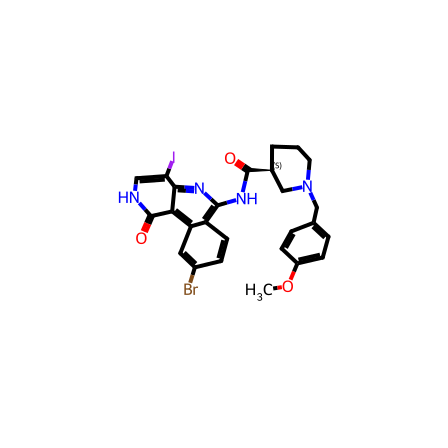 COc1ccc(CN2CCC[C@H](C(=O)Nc3nc4c(I)c[nH]c(=O)c4c4cc(Br)ccc34)C2)cc1